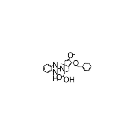 COC1=CC2(C)C(=C1OCc1ccccc1)CC(C(=O)O)N2c1nc2ccccc2[nH]1